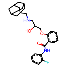 O=C(Nc1ccccc1F)c1ccccc1OCC(O)CNCC12CC3CC(CC(C3)C1)C2